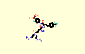 NCCN(CCN)C(=O)CC[C@H](N)C(=O)N[C@H](CCc1ccc(C(F)(F)F)cc1)C(=O)Nc1ccc(B(O)O)c(F)c1